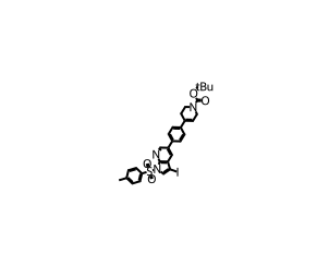 Cc1ccc(S(=O)(=O)n2cc(I)c3cc(-c4ccc(C5=CCN(C(=O)OC(C)(C)C)CC5)cc4)cnc32)cc1